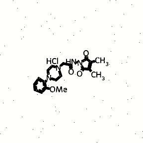 COc1ccccc1N1CCN(CC(=O)NN2C(=O)C(C)=C(C)C2=O)CC1.Cl